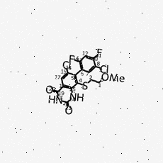 COCCSc1c(-c2cc(Cl)c(F)cc2F)c(Cl)cc2c(=O)[nH]c(=O)[nH]c12